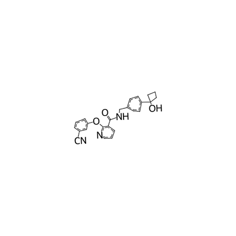 N#Cc1cccc(Oc2ncccc2C(=O)NCc2ccc(C3(O)CCC3)cc2)c1